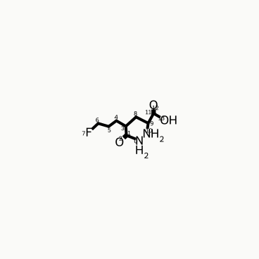 NC(=O)C(CCCF)CC(N)C(=O)O